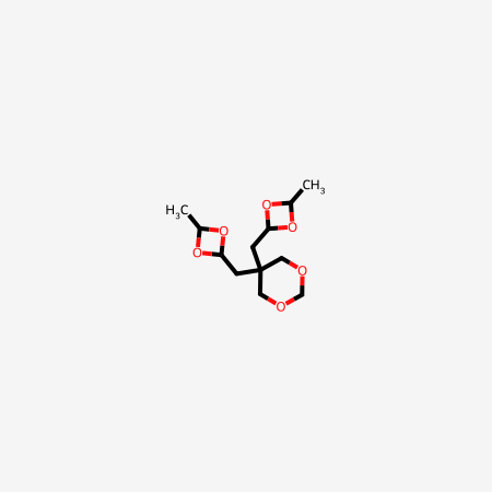 CC1OC(CC2(CC3OC(C)O3)COCOC2)O1